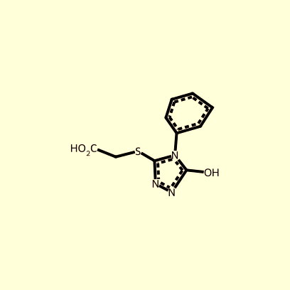 O=C(O)CSc1nnc(O)n1-c1ccccc1